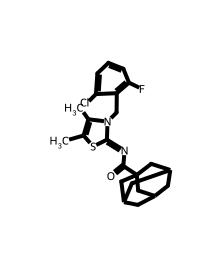 Cc1sc(=NC(=O)C23CC4CC(CC(C4)C2)C3)n(Cc2c(F)cccc2Cl)c1C